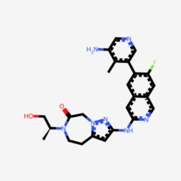 Cc1c(N)cncc1-c1cc2cc(Nc3cc4n(n3)CC(=O)N([C@@H](C)CO)CC4)ncc2cc1F